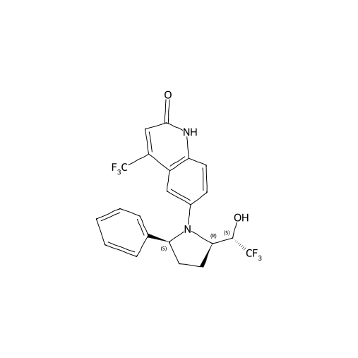 O=c1cc(C(F)(F)F)c2cc(N3[C@@H]([C@H](O)C(F)(F)F)CC[C@H]3c3ccccc3)ccc2[nH]1